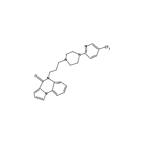 O=c1c2cccn2c2ccccc2n1CCCN1CCN(c2ccc(C(F)(F)F)cn2)CC1